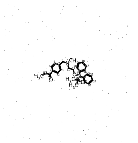 COC(=O)c1ccc(CN(C)CCO[Si](c2ccccc2)(c2ccccc2)C(C)(C)C)cc1